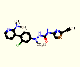 C#Cc1nc(NC(=O)NN(C(=O)OCC)c2ccc(-c3cccnc3N(C)C)c(Cl)c2)cs1